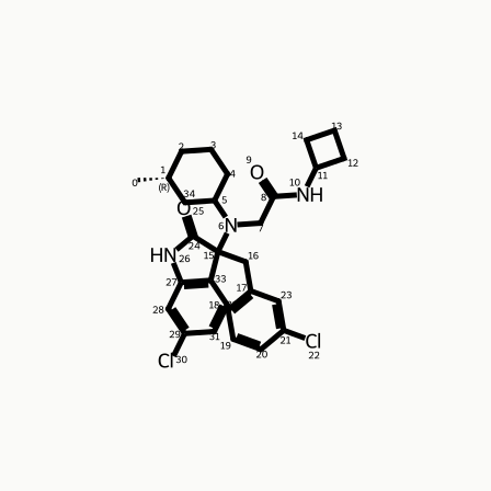 C[C@@H]1CCCC(N(CC(=O)NC2CCC2)C2(Cc3cccc(Cl)c3)C(=O)Nc3cc(Cl)ccc32)C1